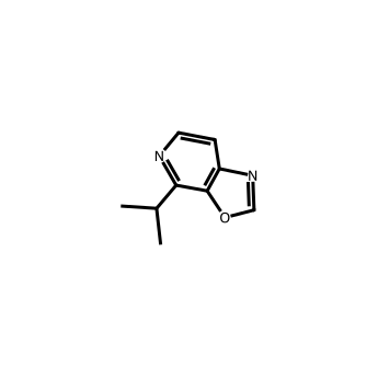 CC(C)c1nccc2ncoc12